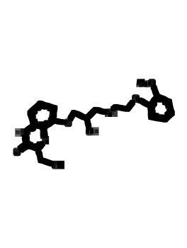 COc1ccccc1OCCNCC(O)COc1cccc2[nH]c(=O)c(CO)nc12